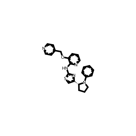 c1ccc(N2CCC[C@@H]2c2csc(Nc3ncccc3OCc3ccncc3)n2)cc1